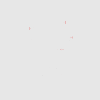 O=C(O)c1cc(O)c(O)c(O)c1.O=C1CCc2ccccc21